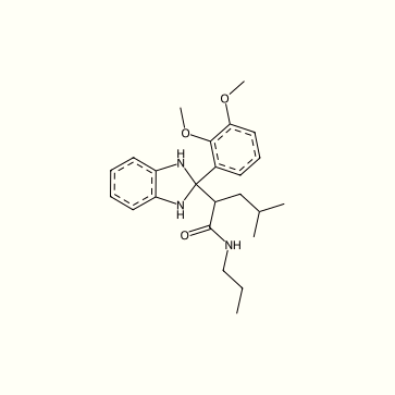 CCCNC(=O)C(CC(C)C)C1(c2cccc(OC)c2OC)Nc2ccccc2N1